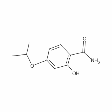 CC(C)Oc1ccc(C(N)=O)c(O)c1